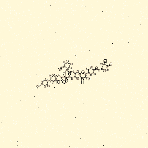 N#Cc1ccc(-c2ccc(CC(NC(=O)C3Cc4cc5c(cc4CN3Cc3ccccc3C#N)OC(c3ccc(OCc4ccc(Cl)c(Cl)c4)cc3)C(=O)N5)C(=O)O)cc2)cc1